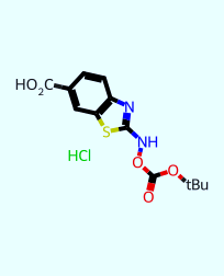 CC(C)(C)OC(=O)ONc1nc2ccc(C(=O)O)cc2s1.Cl